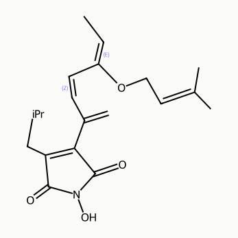 C=C(/C=C\C(=C/C)OCC=C(C)C)C1=C(CC(C)C)C(=O)N(O)C1=O